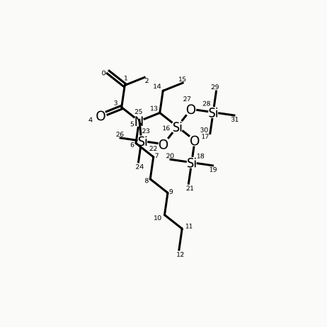 C=C(C)C(=O)N(CCCCCCC)C(CC)[Si](O[Si](C)(C)C)(O[Si](C)(C)C)O[Si](C)(C)C